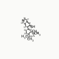 CC1(C)CCC(C)(C)c2cc(-c3cc4cnccc4cc3S)ccc21